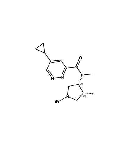 CC(C)N1C[C@@H](C)[C@@H](N(C)C(=O)c2cc(C3CC3)cnn2)C1